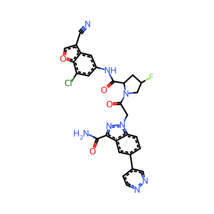 N#Cc1coc2c(Cl)cc(NC(=O)C3CC(F)CN3C(=O)Cn3nc(C(N)=O)c4cc(-c5ccnnc5)ccc43)cc12